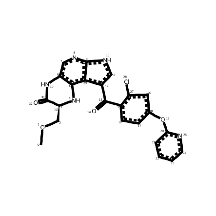 COC[C@@H]1Nc2c(cnc3[nH]cc(C(=O)c4ccc(Oc5ccccn5)cc4Cl)c23)NC1=O